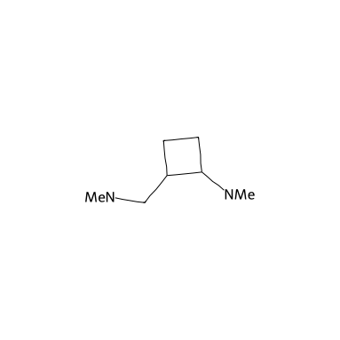 CNCC1CCC1NC